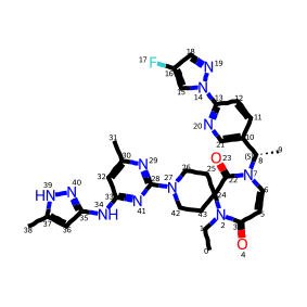 CCN1C(=O)C=CN([C@@H](C)c2ccc(-n3cc(F)cn3)nc2)C(=O)C12CCN(c1nc(C)cc(Nc3cc(C)[nH]n3)n1)CC2